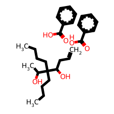 C=CCC(O)C(CCCC)(CCCC)C(C)O.O=C(O)c1ccccc1.O=C(O)c1ccccc1